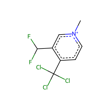 C[n+]1ccc(C(Cl)(Cl)Cl)c(C(F)F)c1